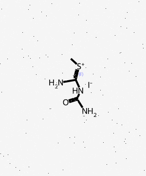 C/[S+]=C(\N)NC(N)=O.[I-]